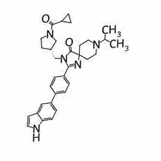 CC(C)N1CCC2(CC1)N=C(c1ccc(-c3ccc4[nH]ccc4c3)cc1)N(C[C@@H]1CCN(C(=O)C3CC3)C1)C2=O